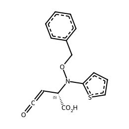 O=C=C[C@@H](C(=O)O)N(OCc1ccccc1)c1cccs1